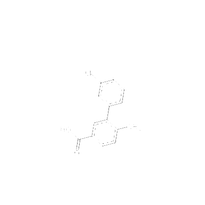 Cc1ccc(C(=O)O)cc1-c1cccc(Cl)c1